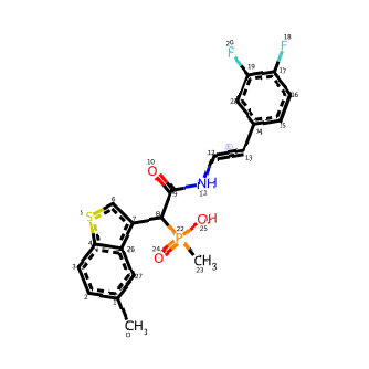 Cc1ccc2scc(C(C(=O)N/C=C/c3ccc(F)c(F)c3)P(C)(=O)O)c2c1